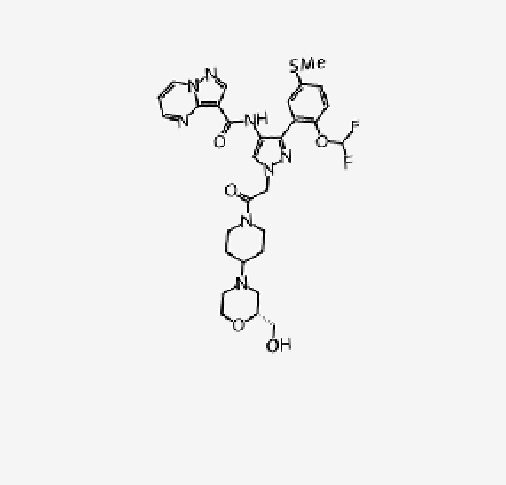 CSc1ccc(OC(F)F)c(-c2nn(CC(=O)N3CCC(N4CCO[C@@H](CO)C4)CC3)cc2NC(=O)c2cnn3cccnc23)c1